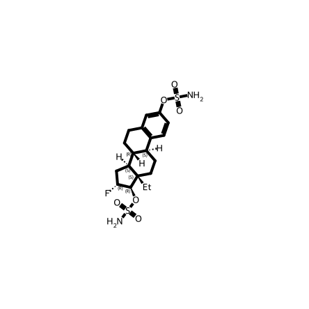 CC[C@]12CC[C@@H]3c4ccc(OS(N)(=O)=O)cc4CC[C@H]3[C@@H]1C[C@@H](F)[C@@H]2OS(N)(=O)=O